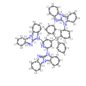 c1ccc([Si](c2ccccc2)(c2cccc(-n3c4ccccc4n4c5ccccc5nc34)c2)c2cc(-n3c4ccccc4n4c5ccccc5nc34)nc(-n3c4ccccc4n4c5ccccc5nc34)c2)cc1